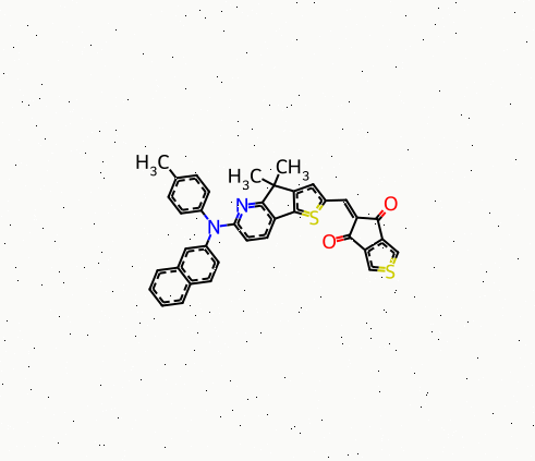 Cc1ccc(N(c2ccc3ccccc3c2)c2ccc3c(n2)C(C)(C)c2cc(C=C4C(=O)c5cscc5C4=O)sc2-3)cc1